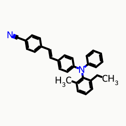 CCc1cccc(C)c1N(c1ccccc1)c1ccc(C=Cc2ccc(C#N)cc2)cc1